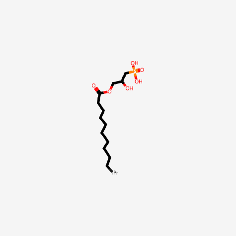 CC(C)CCCCCCCCCC(=O)OCC(O)CP(=O)(O)O